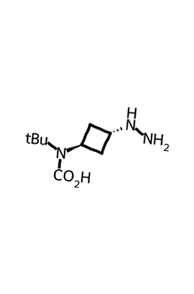 CC(C)(C)N(C(=O)O)[C@H]1C[C@H](NN)C1